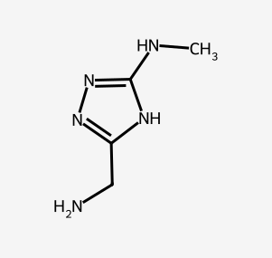 CNc1nnc(CN)[nH]1